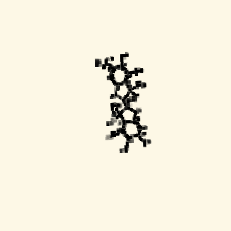 Cc1cc2c(c(F)c1F)C(F)(F)C(C1Cc3cc(I)c(F)c(F)c3C1(F)F)C2